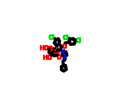 O=C(O)CC(O)(CC(=O)OC1N(CCc2ccccc2)C=CN1C(Cl)C(OCc1ccc(Cl)cc1Cl)c1ccc(Cl)cc1)C(=O)O